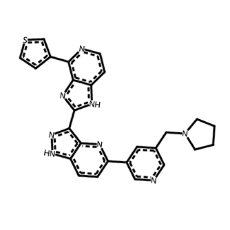 c1cc2[nH]c(-c3n[nH]c4ccc(-c5cncc(CN6CCCC6)c5)nc34)nc2c(-c2ccsc2)n1